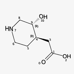 O=C(O)C[C@H]1CCNC[C@@H]1O